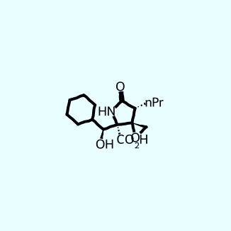 CCC[C@H]1C(=O)N[C@](C(=O)O)([C@@H](O)C2CCCCC2)[C@]12CO2